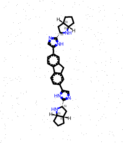 c1cc2c(cc1-c1cnc([C@@H]3C[C@@H]4CCC[C@@H]4N3)[nH]1)Cc1cc(-c3cnc([C@@H]4C[C@@H]5CCC[C@@H]5N4)[nH]3)ccc1-2